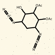 CC(=O)OC1C(N=[N+]=[N-])CC(N=[N+]=[N-])C(O)C1OC(C)=O